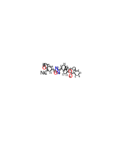 COc1ccccc1C(=O)OC1=CCc2c1cccc2-c1noc(-c2ccc(OC(C)C)c(C#N)c2)n1